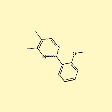 COc1ccccc1-c1ncc(C)c(C)n1